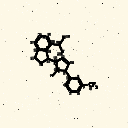 CN1[C@H](c2cccc(C(F)(F)F)c2)C=CN1C1CCc2cccc(C(F)F)c21